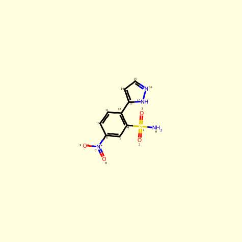 NS(=O)(=O)c1cc([N+](=O)[O-])ccc1-c1ccn[nH]1